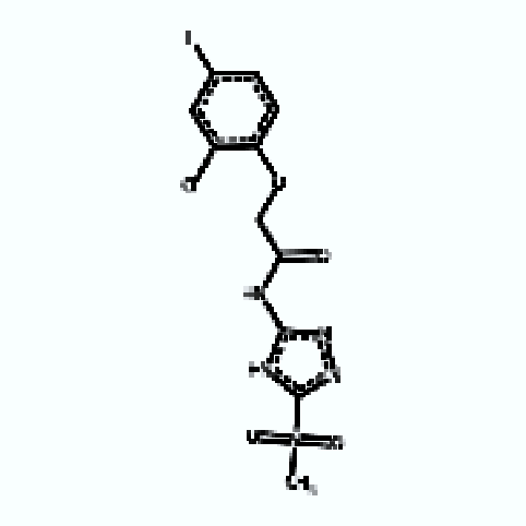 CS(=O)(=O)c1nnc(NC(=O)COc2ccc(F)cc2Cl)[nH]1